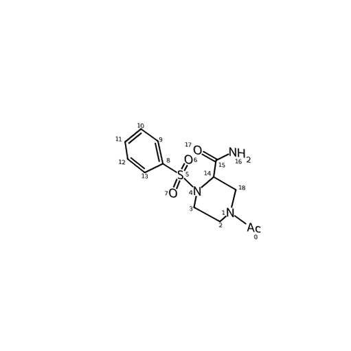 CC(=O)N1CCN(S(=O)(=O)c2ccccc2)C(C(N)=O)C1